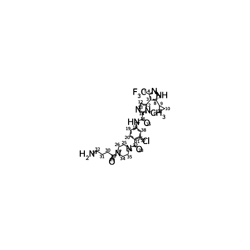 Cn1c(-c2c(C(F)(F)F)n[nH]c2C2CC2)cnc1C(=O)Nc1ccc(C(=O)N2CCN(C(=O)CCCN)CC2)c(Cl)c1